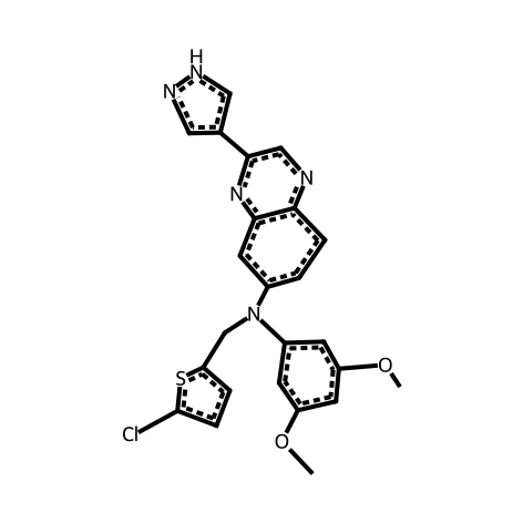 COc1cc(OC)cc(N(Cc2ccc(Cl)s2)c2ccc3ncc(-c4cn[nH]c4)nc3c2)c1